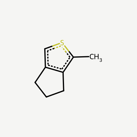 Cc1scc2c1CCC2